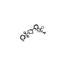 O=C(NC1CC1)c1cccc(C2=CCN(S(=O)(=O)c3cccnc3)CC2)n1